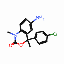 CN1C(=O)OC(C)(c2ccc(Cl)cc2)c2cc(N)ccc21